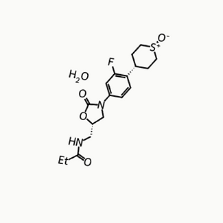 CCC(=O)NC[C@H]1CN(c2ccc([C@H]3CC[S@+]([O-])CC3)c(F)c2)C(=O)O1.O